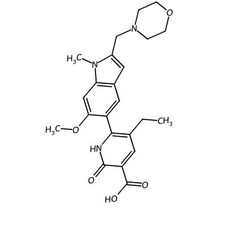 CCc1cc(C(=O)O)c(=O)[nH]c1-c1cc2cc(CN3CCOCC3)n(C)c2cc1OC